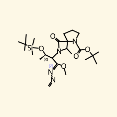 C=N/N=C(\OC)C([C@@H](C)O[Si](C)(C)C(C)(C)C)N1C(=O)C2(CCCN2C(=O)OC(C)(C)C)C1C